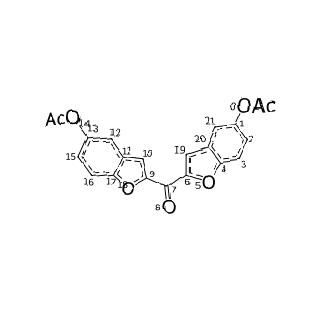 CC(=O)Oc1ccc2oc(C(=O)c3cc4cc(OC(C)=O)ccc4o3)cc2c1